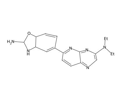 CCN(CC)c1cnc2ccc(C3=CC4NC(N)OC4C=C3)nc2n1